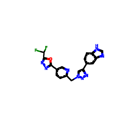 FC(F)c1nnc(-c2ccc(Cn3cc(-c4ccc5[nH]cnc5c4)nn3)nc2)o1